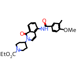 CCOC(=O)N1CCC(n2ccc3c(NC(=O)c4ccc(OC)c(C)c4)cccc3c2=O)CC1